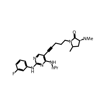 CCCNc1nc(Nc2cccc(F)c2)ncc1C#CCCCN1C(=O)[C@@H](NC)CC1C